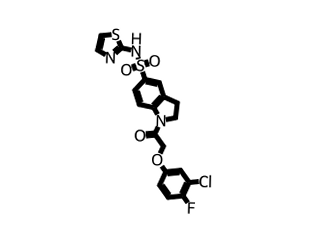 O=C(COc1ccc(F)c(Cl)c1)N1CCc2cc(S(=O)(=O)Nc3nccs3)ccc21